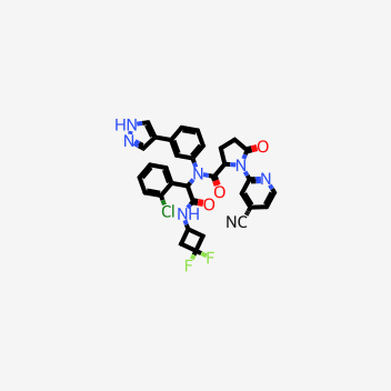 N#Cc1ccnc(N2C(=O)CCC2C(=O)N(c2cccc(-c3cn[nH]c3)c2)C(C(=O)NC2CC(F)(F)C2)c2ccccc2Cl)c1